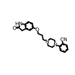 N#Cc1ccccc1N1CCN(CCCOc2ccc3c(c2)CC(=O)N3)CC1